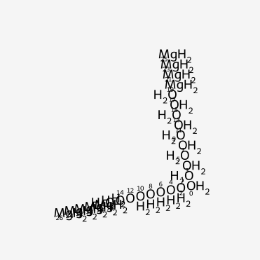 O.O.O.O.O.O.O.O.O.O.O.O.O.O.O.O.O.O.[MgH2].[MgH2].[MgH2].[MgH2].[MgH2].[MgH2].[MgH2].[MgH2].[MgH2]